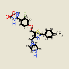 O=c1[nH]c(-c2ccc(OCc3sc(-c4ccc(C(F)(F)F)cc4)nc3CN3CC4CC3CN4)cc2F)no1